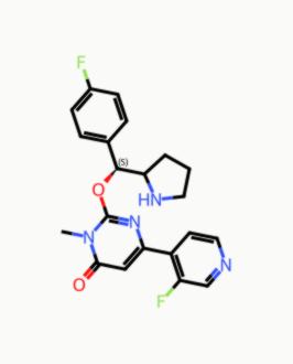 Cn1c(O[C@@H](c2ccc(F)cc2)C2CCCN2)nc(-c2ccncc2F)cc1=O